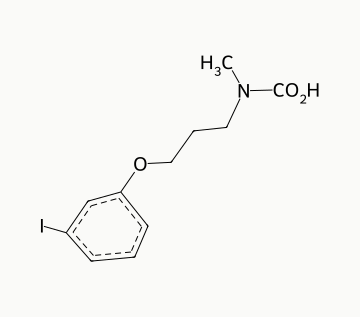 CN(CCCOc1cccc(I)c1)C(=O)O